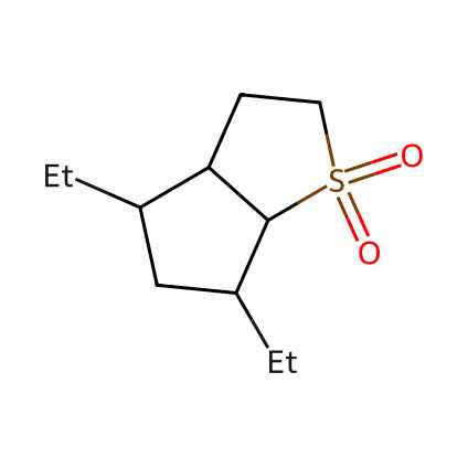 CCC1CC(CC)C2C1CCS2(=O)=O